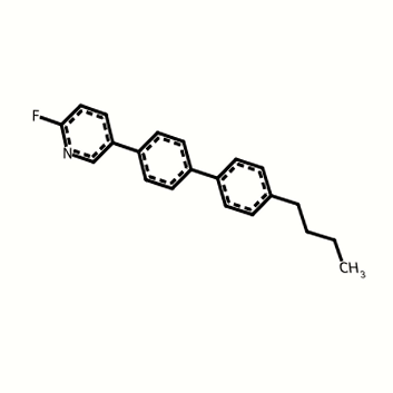 CCCCc1ccc(-c2ccc(-c3ccc(F)nc3)cc2)cc1